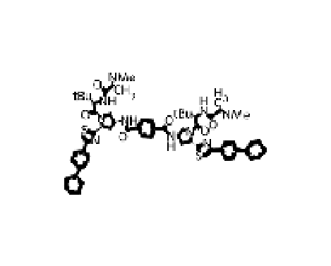 CN[C@@H](C)C(=O)N[C@H](C(=O)N1C[C@@H](NC(=O)c2ccc(C(=O)N[C@H]3C[C@@H](c4nc(-c5ccc(-c6ccccc6)cc5)cs4)N(C(=O)[C@@H](NC(=O)[C@H](C)NC)C(C)(C)C)C3)cc2)C[C@H]1c1nc(-c2ccc(-c3ccccc3)cc2)cs1)C(C)(C)C